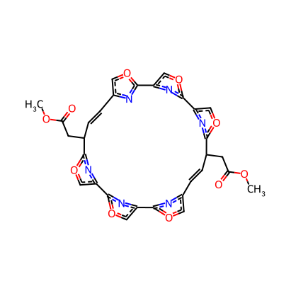 COC(=O)CC1/C=C/c2coc(n2)-c2coc(n2)-c2coc(n2)C(CC(=O)OC)/C=C/c2coc(n2)-c2coc(n2)-c2coc1n2